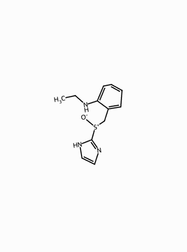 CCNc1ccccc1C[S+]([O-])c1ncc[nH]1